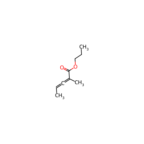 CC=C=C(C)C(=O)OCCC